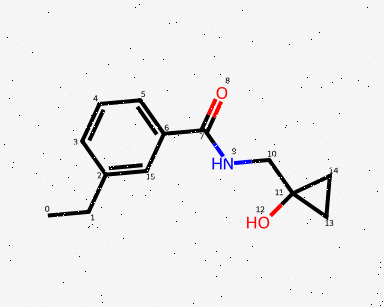 CCc1cccc(C(=O)NCC2(O)CC2)c1